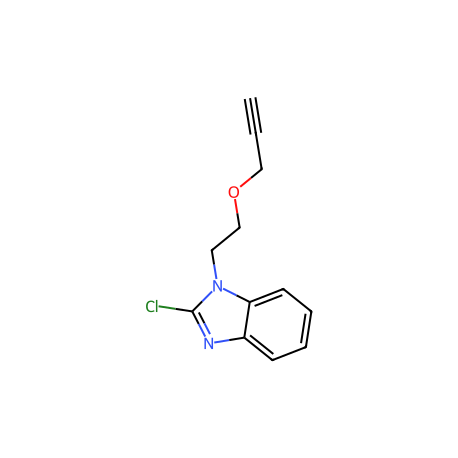 C#CCOCCn1c(Cl)nc2ccccc21